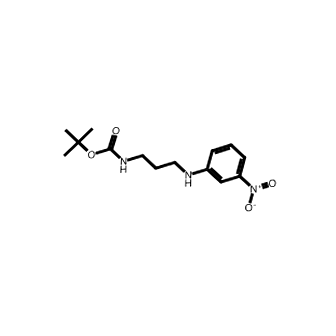 CC(C)(C)OC(=O)NCCCNc1cccc([N+](=O)[O-])c1